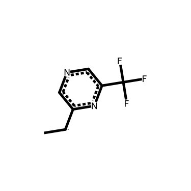 C[CH]c1cncc(C(F)(F)F)n1